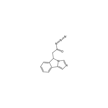 [N-]=[N+]=NC(=O)CC1c2ccccc2-c2cncn21